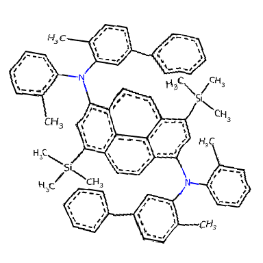 Cc1ccccc1N(c1cc(-c2ccccc2)ccc1C)c1cc([Si](C)(C)C)c2ccc3c(N(c4ccccc4C)c4cc(-c5ccccc5)ccc4C)cc([Si](C)(C)C)c4ccc1c2c34